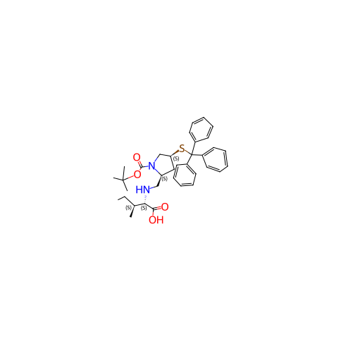 CC[C@H](C)[C@H](NC[C@@H]1C[C@H](SC(c2ccccc2)(c2ccccc2)c2ccccc2)CN1C(=O)OC(C)(C)C)C(=O)O